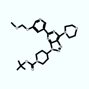 COCOc1cncc(-c2nc(N3CCOCC3)c3nnn(C4CCN(C(=O)OC(C)(C)C)CC4)c3n2)c1